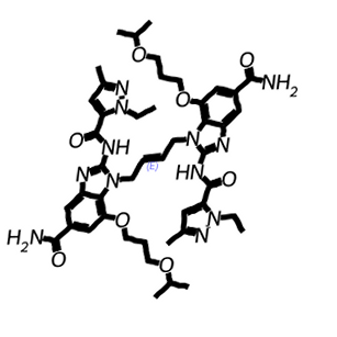 CCn1nc(C)cc1C(=O)Nc1nc2cc(C(N)=O)cc(OCCCOC(C)C)c2n1C/C=C/Cn1c(NC(=O)c2cc(C)nn2CC)nc2cc(C(N)=O)cc(OCCCOC(C)C)c21